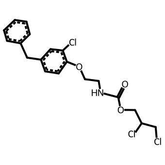 O=C(NCCOc1ccc(Cc2ccccc2)cc1Cl)OCC(Cl)CCl